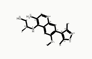 COc1cc2c(N[C@@H](C)CO)c(N)cnc2cc1-c1c(C)noc1C